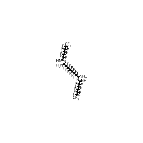 N=C(/N=C(\N)C(F)(F)C(F)(F)C(F)(F)C(F)(F)C(F)(F)C(F)(F)/C(N)=N/C(=N)C(F)(F)C(F)(F)C(F)(F)C(F)(F)C(F)(F)C(F)(F)F)C(F)(F)C(F)(F)C(F)(F)C(F)(F)C(F)(F)C(F)(F)F